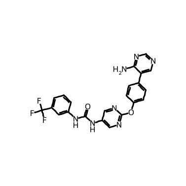 Nc1ncncc1-c1ccc(Oc2ncc(NC(=O)Nc3cccc(C(F)(F)F)c3)cn2)cc1